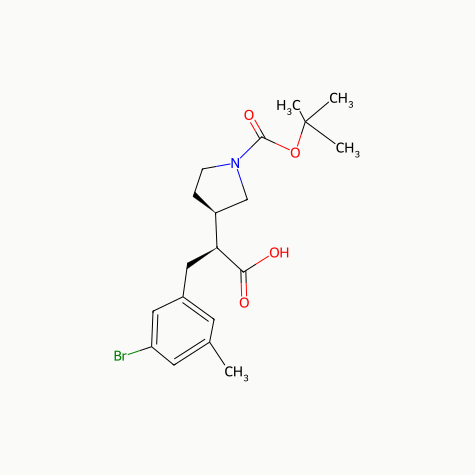 Cc1cc(Br)cc(C[C@H](C(=O)O)[C@H]2CCN(C(=O)OC(C)(C)C)C2)c1